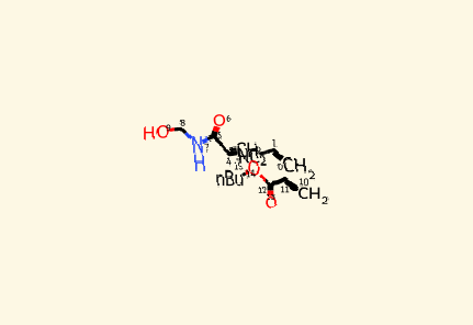 C=CC#N.C=CC(=O)NCO.C=CC(=O)OCCCC